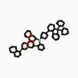 c1ccc(-c2cccc(-c3ccccc3N(c3ccc(-c4cccc5c4-c4ccccc4C5(c4ccccc4)c4ccccc4)cc3)c3cccc(-c4ccc(-c5cccc6ccccc56)cc4)c3)c2)cc1